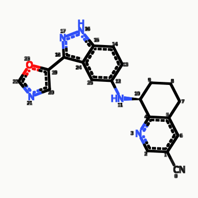 N#Cc1cnc2c(c1)CCC[C@@H]2Nc1ccc2[nH]nc(-c3cnco3)c2c1